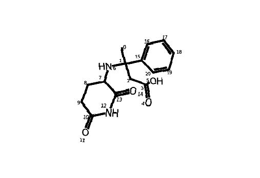 CC(CC(=O)O)(NC1CCC(=O)NC1=O)c1ccccc1